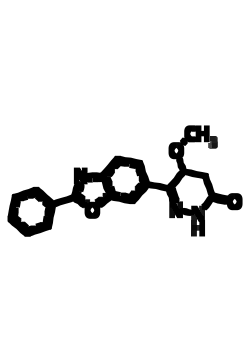 COC1CC(=O)NN=C1c1ccc2nc(-c3ccccc3)oc2c1